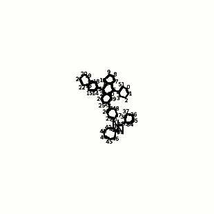 C1=CCCC(c2c3ccccc3c(-c3ccc4c(c3)CCC=C4)c3ccc(C4=CC=C(n5c(-c6ccccc6)nc6c5CCC=CC6)CC4)cc23)=C1